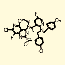 COc1ccc(CN(Cc2ccc(OC)cc2)c2ncc(F)cc2[C@@H](C)N2c3nc([S+](C)[O-])nc4c(F)c(Cl)nc(c34)OC[C@@H]2C)cc1